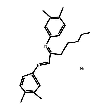 CCCCCC(C=Nc1ccc(C)c(C)c1)=Nc1ccc(C)c(C)c1.[Ni]